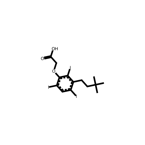 CC(C)(C)CCc1c(I)cc(I)c(OCC(=O)O)c1I